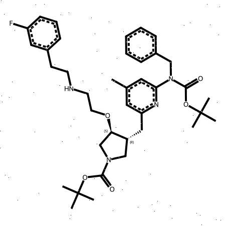 Cc1cc(C[C@@H]2CN(C(=O)OC(C)(C)C)C[C@H]2OCCNCCc2cccc(F)c2)nc(N(Cc2ccccc2)C(=O)OC(C)(C)C)c1